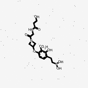 O=C(CCO)NCC(=O)N1CC(Oc2ccc(CCB(O)O)c(O)c2C(=O)O)C1